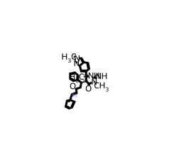 CN1C(=N)N[C@](C)(c2ccc3cn(C)nc3c2)[C@H](C(CC(=O)/C=C/c2ccccc2)c2ccccc2)C1=O